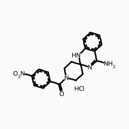 Cl.NC1=NC2(CCN(C(=O)c3ccc([N+](=O)[O-])cc3)CC2)Nc2ccccc21